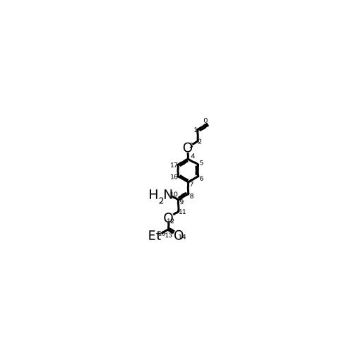 C=CCOc1ccc(C=C(N)COC(=O)CC)cc1